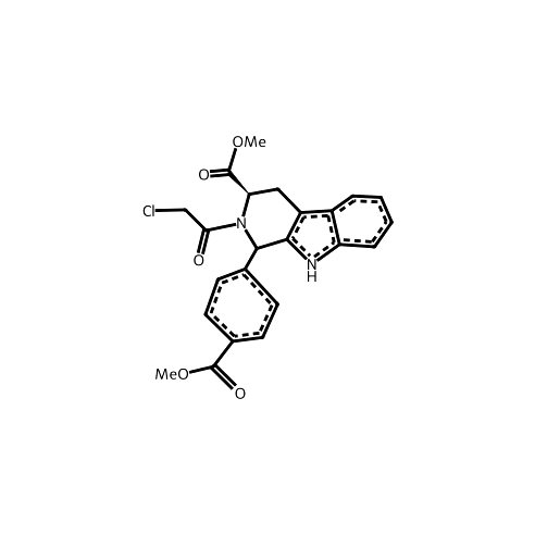 COC(=O)c1ccc(C2c3[nH]c4ccccc4c3C[C@H](C(=O)OC)N2C(=O)CCl)cc1